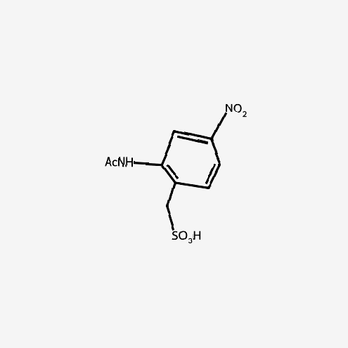 CC(=O)Nc1cc([N+](=O)[O-])ccc1CS(=O)(=O)O